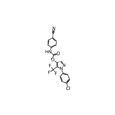 N#Cc1ccc(NC(=O)Oc2cnn(-c3ccc(Cl)cc3)c2C(F)(F)F)cc1